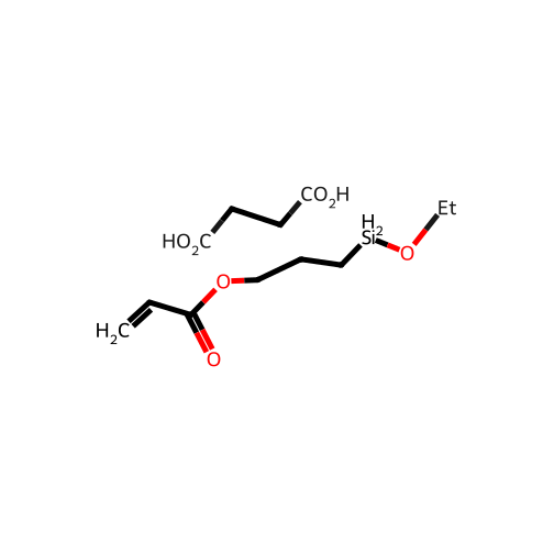 C=CC(=O)OCCC[SiH2]OCC.O=C(O)CCC(=O)O